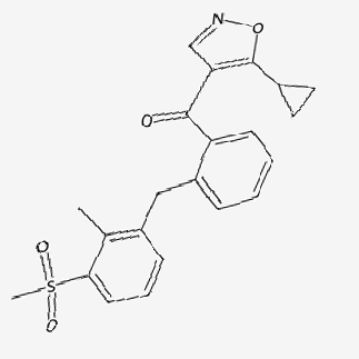 Cc1c(Cc2ccccc2C(=O)c2cnoc2C2CC2)cccc1S(C)(=O)=O